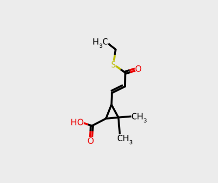 CCSC(=O)C=CC1C(C(=O)O)C1(C)C